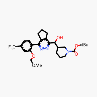 COCOc1cc(C(F)(F)F)ccc1-c1nnc(C(O)C2CCCN(C(=O)OC(C)(C)C)C2)c2c1CCC2